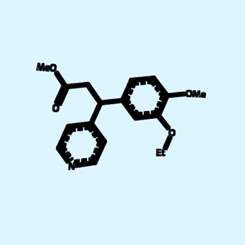 CCOc1cc(C(CC(=O)OC)c2ccncc2)ccc1OC